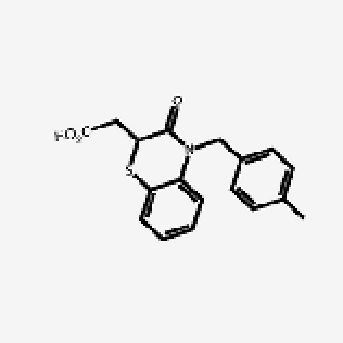 Cc1ccc(CN2C(=O)C(CC(=O)O)Sc3ccccc32)cc1